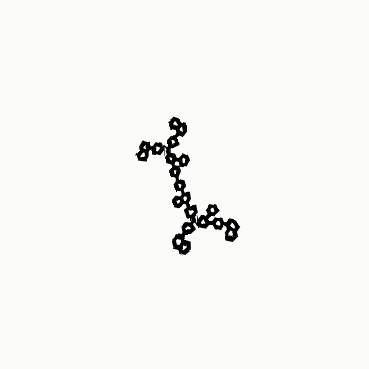 c1ccc(-c2cc(N(c3ccc(-c4cccc5ccccc45)cc3)c3ccc(-c4cccc5ccccc45)cc3)ccc2-c2ccc(-c3ccc(-c4ccc(-c5ccc(N(c6ccc(-c7cccc8ccccc78)cc6)c6ccc(-c7ccc(-c8cccc9ccccc89)cc7)c(-c7ccccc7)c6)cc5)c5ccccc45)cc3)cc2)cc1